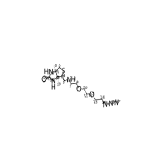 C[C@]12CS[C@@H](CNCCOCCOCCN=[N+]=[N-])[C@@]1(C)NC(=O)N2